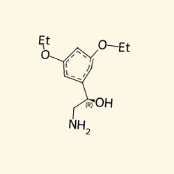 CCOc1cc(OCC)cc([C@@H](O)CN)c1